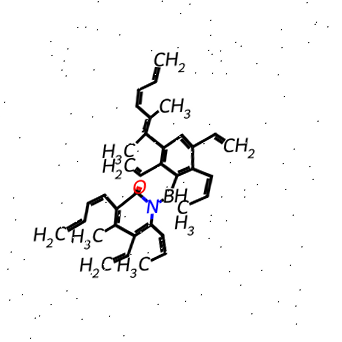 C=C/C=C\C(C)=C(/C)c1cc(C=C)c(/C=C\C)c(Bn2c(/C=C\C)c(C=C)c(C)c(/C=C\C=C)c2=O)c1C=C